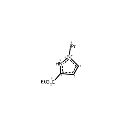 CCOC(=O)c1cc[n+](C(C)C)[nH]1